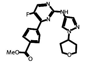 COC(=O)c1ccc(-c2nc(Nc3cnn(C4CCOCC4)c3)ncc2F)cc1